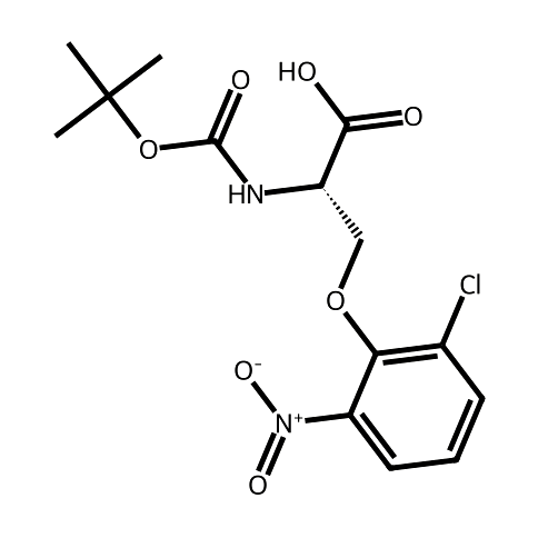 CC(C)(C)OC(=O)N[C@@H](COc1c(Cl)cccc1[N+](=O)[O-])C(=O)O